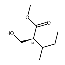 CCC(C)[C@@H](CO)C(=O)OC